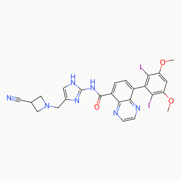 COc1cc(OC)c(I)c(-c2ccc(C(=O)Nc3nc(CN4CC(C#N)C4)c[nH]3)c3nccnc23)c1I